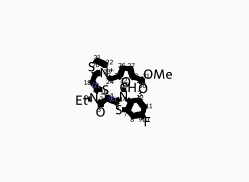 CCn1c(=O)/c(=C2\Sc3cc(F)ccc3N2C)s/c1=C\c1scc[n+]1Cc1ccc(C(=O)OC)o1